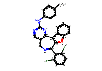 O=C(O)c1ccc(Nc2ncc3c(n2)-c2c(oc4ccccc24)C(c2c(F)cccc2F)=NC3)cc1